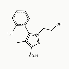 Cc1c(C(=O)O)nn(CCO)c1-c1ccccc1C(F)(F)F